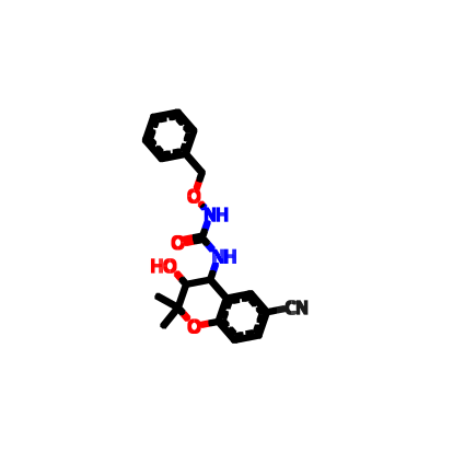 CC1(C)Oc2ccc(C#N)cc2C(NC(=O)NOCc2ccccc2)C1O